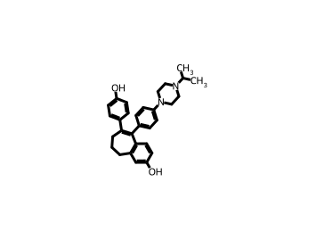 CC(C)N1CCN(c2ccc(C3=C(c4ccc(O)cc4)CCCc4cc(O)ccc43)cc2)CC1